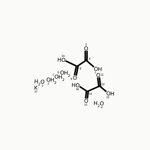 O.O.O.O.O.O=C(O)C(=O)O.O=C(O)C(=O)O.[K]